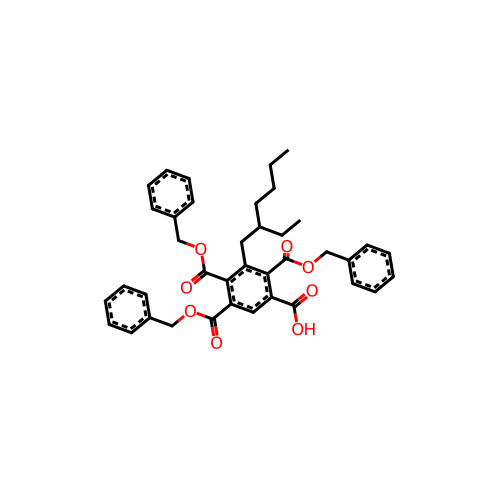 CCCCC(CC)Cc1c(C(=O)OCc2ccccc2)c(C(=O)O)cc(C(=O)OCc2ccccc2)c1C(=O)OCc1ccccc1